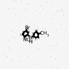 Cc1ccc(Nc2cc(Br)ccc2[N+](=O)[O-])cc1